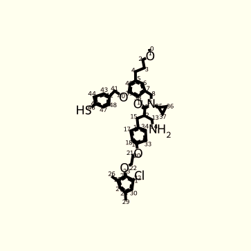 COCCCc1cc(CN(C(=O)C(CN)Cc2ccc(OCCOc3c(C)cc(C)cc3Cl)cc2)C2CC2)cc(OCc2ccc(S)cc2)c1